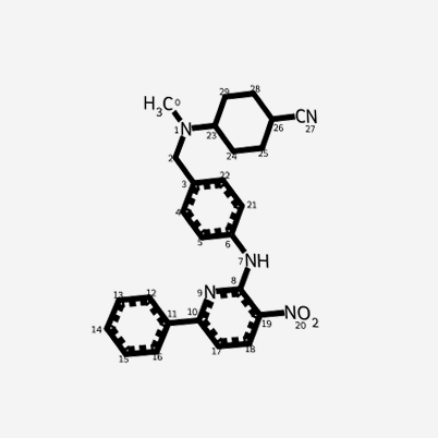 CN(Cc1ccc(Nc2nc(-c3ccccc3)ccc2[N+](=O)[O-])cc1)C1CCC(C#N)CC1